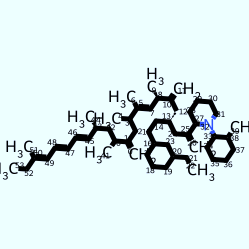 C=C(CC(C)/C(C)=C/[C@@H](C)C(=C)C[C@@H](CCC1CCCC(CC)C1)CC(=C)C1CCCCN1C1CCCCC1C)C(C)C[C@H](C)/C=C/C=C/C=C(\C)CC